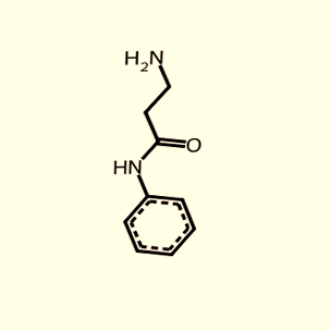 NCCC(=O)Nc1ccccc1